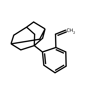 C=Cc1ccccc1C12CC3CC(CC(C3)C1)C2